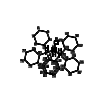 [Cl][NiH]([PH](C1CCCCC1)(C1CCCCC1)C1CCCCC1)[PH](C1CCCCC1)(C1CCCCC1)C1CCCCC1